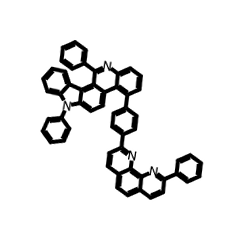 c1ccc(-c2ccc3ccc4ccc(-c5ccc(-c6cccc7nc(-c8ccccc8)c8c(ccc9c8c8ccccc8n9-c8ccccc8)c67)cc5)nc4c3n2)cc1